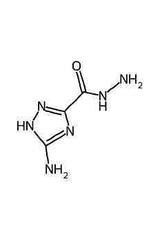 NNC(=O)c1n[nH]c(N)n1